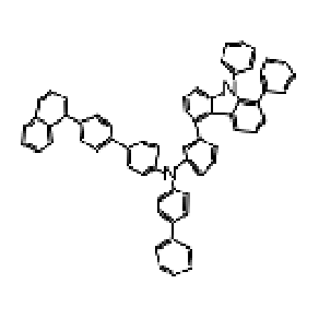 c1ccc(-c2ccc(N(c3ccc(-c4ccc(-c5cccc6ccccc56)cc4)cc3)c3cccc(-c4cccc5c4c4cccc(-c6ccccc6)c4n5-c4ccccc4)c3)cc2)cc1